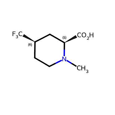 CN1CC[C@@H](C(F)(F)F)C[C@H]1C(=O)O